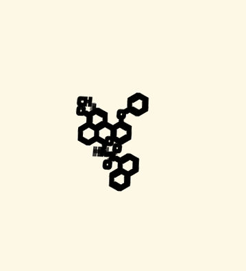 COc1ccc(-c2ccccc2Oc2ccccc2)c2c1CCCC2C(=O)NS(=O)(=O)c1cccc2ccccc12